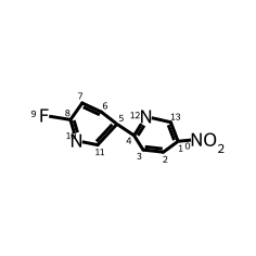 O=[N+]([O-])c1ccc(-c2ccc(F)nc2)nc1